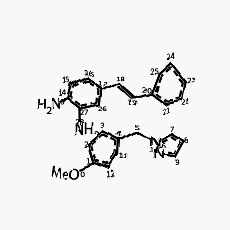 COc1ccc(Cn2cccn2)cc1.Nc1ccc(C=Cc2ccccc2)cc1N